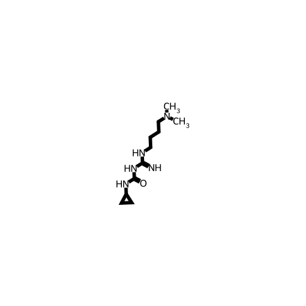 CN(C)CCCCNC(=N)NC(=O)NC1CC1